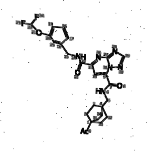 CC(=O)C12CCC(CNC(=O)c3cc(C(=O)NCc4cccc(OC(F)F)c4)nc4ncnn34)(CC1)CC2